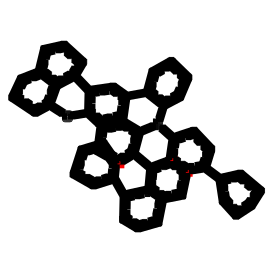 c1ccc(-c2ccc(N(c3ccccc3-c3ccc4c(c3)-c3cccc5cccc(c35)O4)c3ccccc3-c3cccc4cccc(-c5ccccc5)c34)cc2)cc1